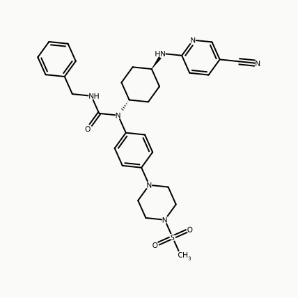 CS(=O)(=O)N1CCN(c2ccc(N(C(=O)NCc3ccccc3)[C@H]3CC[C@H](Nc4ccc(C#N)cn4)CC3)cc2)CC1